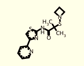 CC(C)(SN1CCC1)C(=O)Nc1nc(-c2ccccn2)cs1